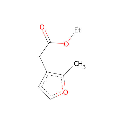 CCOC(=O)Cc1ccoc1C